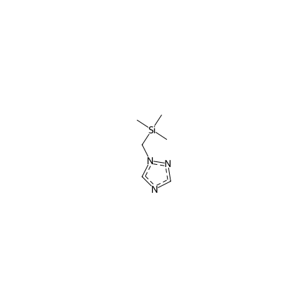 C[Si](C)(C)Cn1cncn1